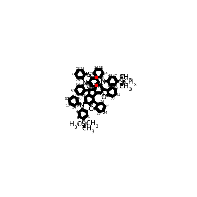 C[Si](C)(C)c1ccc(N(c2ccccc2)c2cc3c(c4c2oc2ccccc24)-c2c(cc(N(c4ccccc4)c4ccc([Si](C)(C)C)cc4)c4c2oc2ccccc24)C3(O)c2ccccc2N2c3ccccc3Sc3ccccc32)cc1